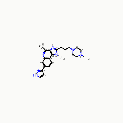 CN1CCN(CCCc2nc3c(C(F)(F)F)nc4cc(-c5cc[nH]n5)ccc4c3n2C)CC1